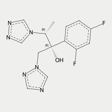 C[C@@H](n1cnnc1)[C@](O)(Cn1cncn1)c1ccc(F)cc1F